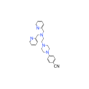 N#Cc1ccc(N2CCN(CCN(Cc3ccccn3)Cc3ccccn3)CC2)cc1